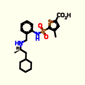 Cc1cc(C(=O)O)sc1S(=O)(=O)Nc1ccccc1CN[C@@H](C)CC1CCCCC1